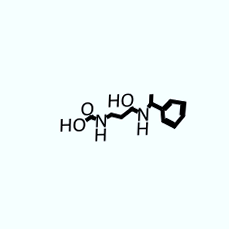 CC(NC(O)CCNC(=O)O)c1ccccc1